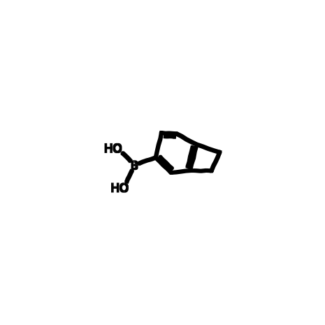 OB(O)c1ccc2c(c1)CC2